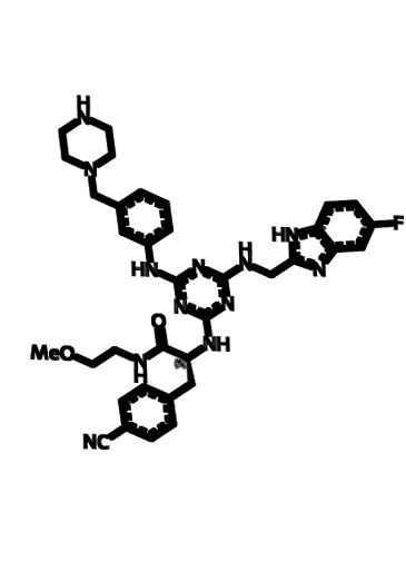 COCCNC(=O)[C@H](Cc1ccc(C#N)cc1)Nc1nc(NCc2nc3cc(F)ccc3[nH]2)nc(Nc2cccc(CN3CCNCC3)c2)n1